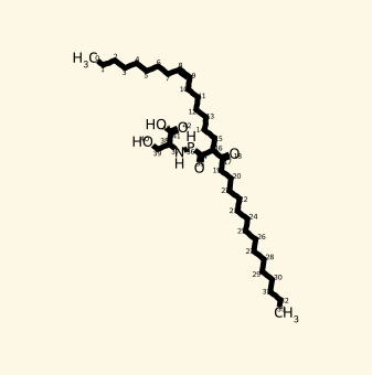 CCCCCCCC/C=C\CCCCCCC(C(=O)CCCCCCCCCCCCCCC)C(=O)PNC(CO)C(=O)O